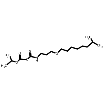 CC(C)CCCCCCOCCCNC(=S)SC(=O)OC(C)C